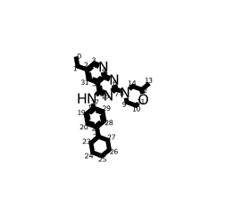 CCc1cnc2nc(N3CCOC(C)C3)nc(Nc3ccc(C4CCCCC4)cc3)c2c1